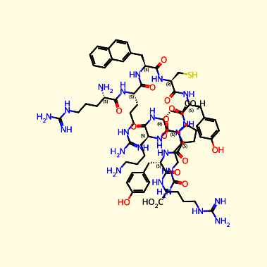 N=C(N)NCCC[C@H](NC(=O)[C@H](Cc1ccc(O)cc1)NC(=O)[C@@H]1CCCN1C(=O)[C@@H](CCC(=O)O)NC(=O)[C@H](CCCCN)NC(=O)[C@H](CCCNC(N)=O)NC(=O)[C@H](Cc1ccc(O)cc1)NC(=O)[C@H](CS)NC(=O)[C@H](Cc1ccc2ccccc2c1)NC(=O)[C@H](CCCNC(=N)N)NC(=O)[C@@H](N)CCCNC(=N)N)C(=O)O